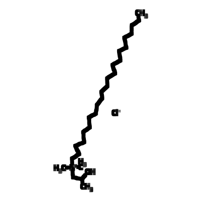 CCCCCCCCCCCCCCCCCCCCCCC[N+](C)(C)CC(C)O.[Cl-]